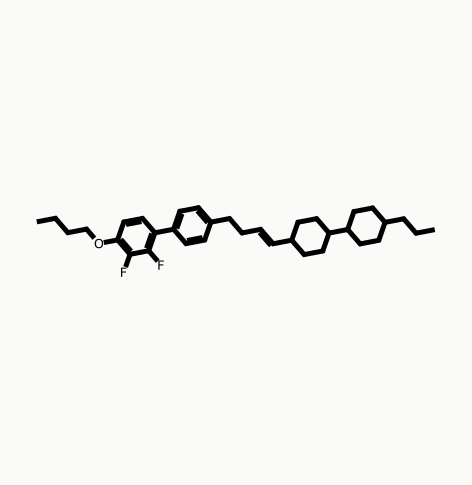 CCCCOc1ccc(-c2ccc(CC/C=C/C3CCC(C4CCC(CCC)CC4)CC3)cc2)c(F)c1F